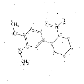 COc1ccc(C2CCCCC2[N+](=O)[O-])cc1OC